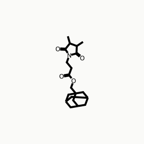 CC1C(=O)N(CCC(=O)OCC23CC4CC(CC(C4)C2)C3)C(=O)C1C